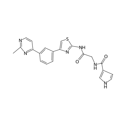 Cc1nccc(-c2cccc(-c3csc(NC(=O)CNC(=O)c4cc[nH]c4)n3)c2)n1